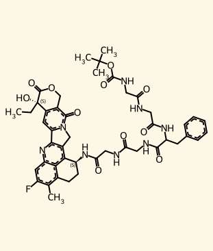 CC[C@@]1(O)C(=O)OCc2c1cc1n(c2=O)Cc2c-1nc1cc(F)c(C)c3c1c2[C@@H](NC(=O)CNC(=O)CNC(=O)C(Cc1ccccc1)NC(=O)CNC(=O)CNC(=O)OC(C)(C)C)CC3